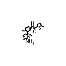 CC[C@@]1(c2cc(NC(=O)c3ccc(C)s3)ccc2F)CCSC(N)=N1